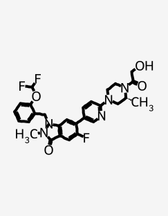 C[C@@H]1CN(c2ccc(-c3cc4c(cc3F)c(=O)n(C)n4Cc3ccccc3OC(F)F)cn2)CCN1C(=O)CO